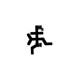 CCCC(NCC)(C(C)C)C(C)(C)[SiH3]